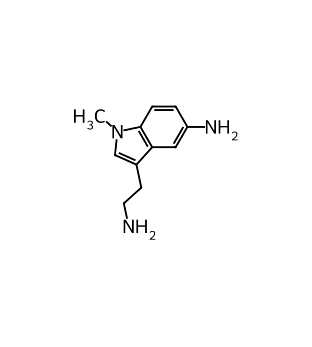 Cn1cc(CCN)c2cc(N)ccc21